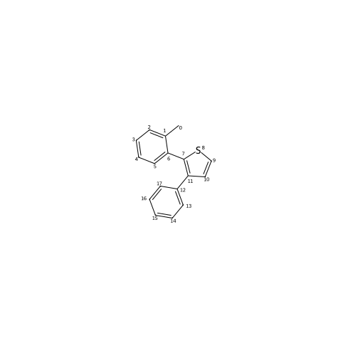 Cc1ccccc1-c1sccc1-c1ccccc1